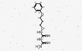 N=C(N)NC(=N)NOCCCOc1ccccc1